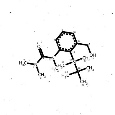 CN(C)C(=O)N(C)c1cccc(CO)c1[Si](C)(C)C(C)(C)C